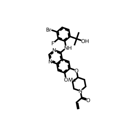 C=CC(=O)N1CCC(Oc2cc3c(Nc4c(C(C)(C)O)ccc(Br)c4F)ncnc3cc2OC)CC1